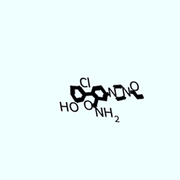 C=CC(=O)N1CCN(c2ccc(-c3cc(O)ccc3Cl)c(C(N)=O)c2)CC1